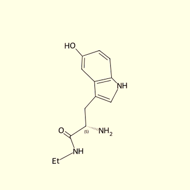 CCNC(=O)[C@@H](N)Cc1c[nH]c2ccc(O)cc12